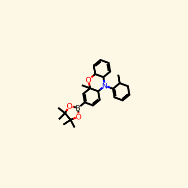 CC1CC=CC=C1N1C2C=CC=CC2OC2(C)C=C(B3OC(C)(C)C(C)(C)O3)C=CC12